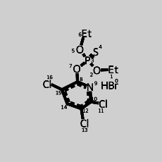 Br.CCOP(=S)(OCC)Oc1nc(Cl)c(Cl)cc1Cl